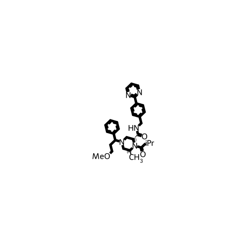 COCCC(c1ccccc1)N1C[C@@H](C)N(C(=O)C(C)C)[C@@H](C(=O)NCc2ccc(-c3ncccn3)cc2)C1